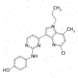 CCCn1cc(-c2ccnc(Nc3ccc(O)cc3)n2)c2nc(Cl)cc(C)c21